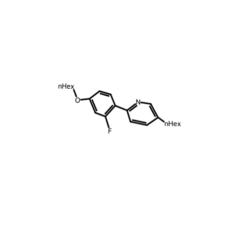 CCCCCCOc1ccc(-c2ccc(CCCCCC)cn2)c(F)c1